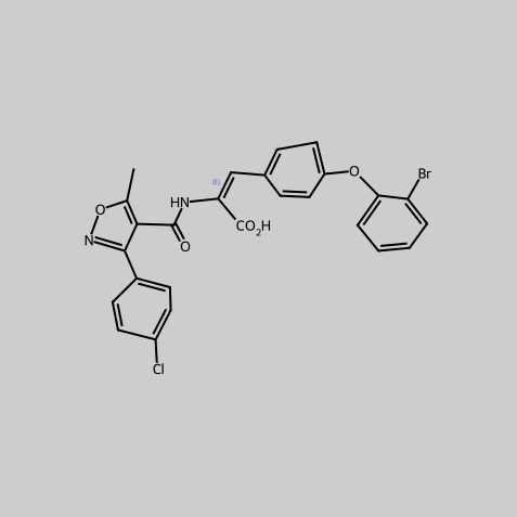 Cc1onc(-c2ccc(Cl)cc2)c1C(=O)N/C(=C/c1ccc(Oc2ccccc2Br)cc1)C(=O)O